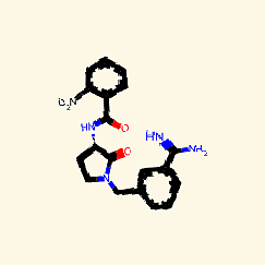 N=C(N)c1cccc(CN2CC[C@H](NC(=O)c3ccccc3[N+](=O)[O-])C2=O)c1